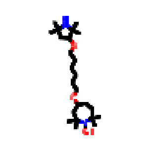 CC1(C)CC(OCCCCCCOC2CCC(C)(C)N(O)C(C)(C)C2)C(C)(C)N1